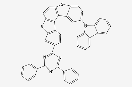 c1ccc(-c2nc(-c3ccccc3)nc(-c3ccc4c(c3)sc3ccc5sc6ccc(-n7c8ccccc8c8ccccc87)cc6c5c34)n2)cc1